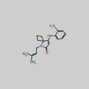 CC(C)=CCN1C(=O)C=C(Nc2ccccc2N)C12CCC2